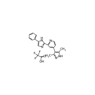 Cc1n[nH]c(C)c1-c1ccnc(-c2ncc(-c3ccccc3)[nH]2)c1.O=C(O)C(F)(F)F